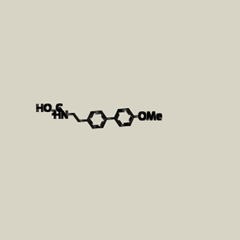 COc1ccc(-c2ccc(CCNC(=O)O)cc2)cc1